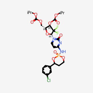 CC(C)OC(=O)OC[C@H]1O[C@@H](n2ccc(NP3(=O)OCCC(c4cccc(Cl)c4)O3)nc2=O)C(F)(F)[C@@H]1OC(=O)OC(C)C